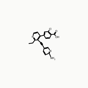 CCc1nccc(-c2ccc(C(=O)O)c(Cl)c2)c1C#Cc1ccc(N)nc1